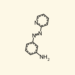 Nc1cccc(N=Nc2ccccn2)c1